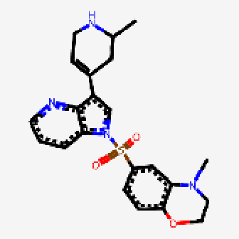 CC1CC(c2cn(S(=O)(=O)c3ccc4c(c3)N(C)CCO4)c3cccnc23)=CCN1